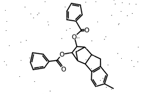 Cc1ccc2c(c1)CC1C3CC(C(OC(=O)c4ccccc4)C3OC(=O)c3ccccc3)C21